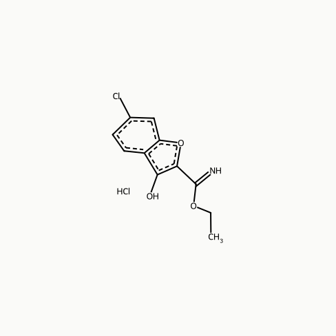 CCOC(=N)c1oc2cc(Cl)ccc2c1O.Cl